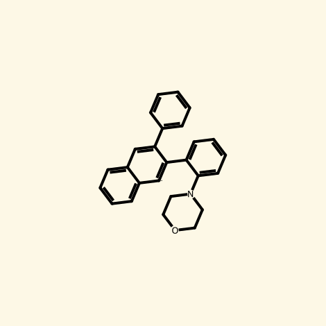 [c]1c(-c2ccccc2N2CCOCC2)c(-c2ccccc2)cc2ccccc12